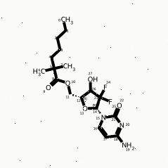 CCCCCC(C)(C)C(=O)OC[C@H]1O[C@@H](n2ccc(N)nc2=O)C(F)(F)C1O